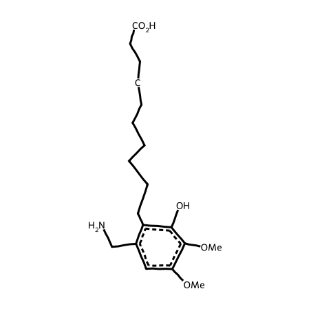 COc1cc(CN)c(CCCCCCCCCC(=O)O)c(O)c1OC